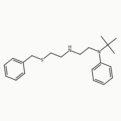 CC(C)(C)N(CCNCCSCc1ccccc1)c1ccccc1